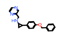 c1ccc(COc2ccc(C3CC3NCc3cnccn3)cc2)cc1